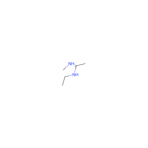 CCNCC.CN